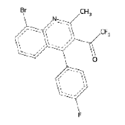 Cc1nc2c(Br)cccc2c(-c2ccc(F)cc2)c1C(=O)C(F)(F)F